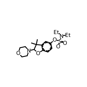 CCN(CC)S(=O)(=O)Oc1ccc2c(c1)C(C)(C)C(N1CCOCC1)O2